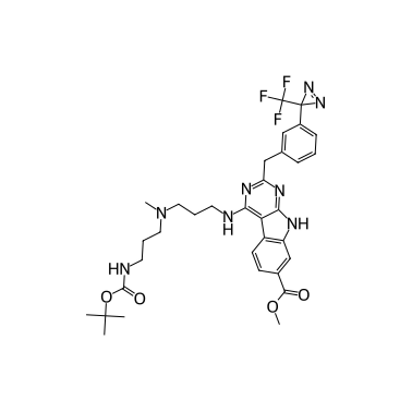 COC(=O)c1ccc2c(c1)[nH]c1nc(Cc3cccc(C4(C(F)(F)F)N=N4)c3)nc(NCCCN(C)CCCNC(=O)OC(C)(C)C)c12